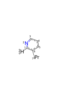 [2H]c1ncccc1C(C)C